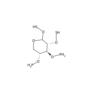 PO[C@H]1[C@H](OP)COC(OS)[C@@H]1OS